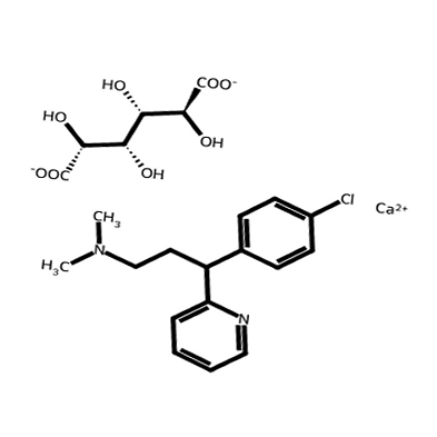 CN(C)CCC(c1ccc(Cl)cc1)c1ccccn1.O=C([O-])[C@@H](O)[C@@H](O)[C@H](O)[C@@H](O)C(=O)[O-].[Ca+2]